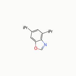 CC(C)c1cc(C(C)C)c2ncoc2c1